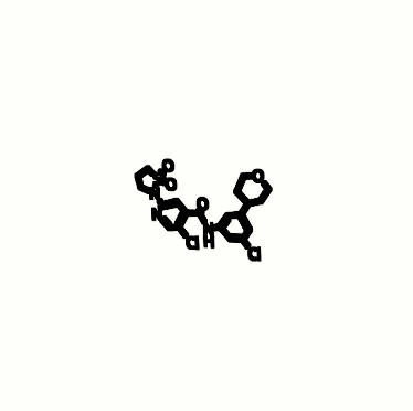 O=C(Nc1cc(Cl)cc(C2CCOCC2)c1)c1cc(N2CCCS2(=O)=O)ncc1Cl